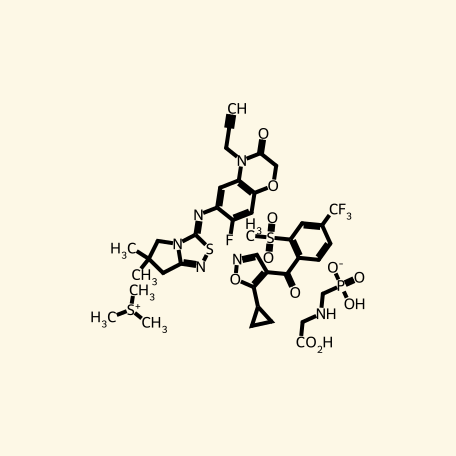 C#CCN1C(=O)COc2cc(F)c(/N=c3\snc4n3CC(C)(C)C4)cc21.CS(=O)(=O)c1cc(C(F)(F)F)ccc1C(=O)c1cnoc1C1CC1.C[S+](C)C.O=C(O)CNCP(=O)([O-])O